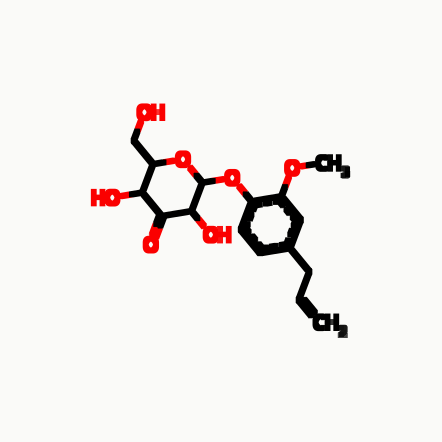 C=CCc1ccc(OC2OC(CO)C(O)C(=O)C2O)c(OC)c1